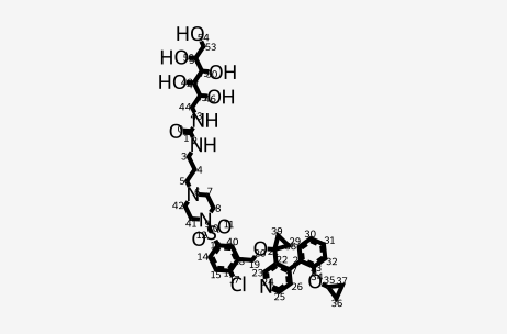 O=C(NCCCN1CCN(S(=O)(=O)c2ccc(Cl)c(COC3(c4cnccc4-c4ccccc4OC4CC4)CC3)c2)CC1)NCC(O)C(O)C(O)C(O)CO